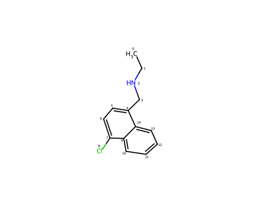 CCNCc1ccc(Cl)c2ccccc12